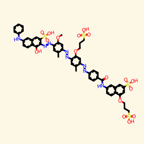 COc1cc(N=Nc2cc(C)c(N=Nc3ccc(C(=O)Nc4ccc5c(OCCCS(=O)(=O)O)cc(S(=O)(=O)O)cc5c4)cc3)cc2OCCCS(=O)(=O)O)c(C)cc1N=Nc1c(S(=O)(=O)O)cc2cc(Nc3ccccc3)ccc2c1O